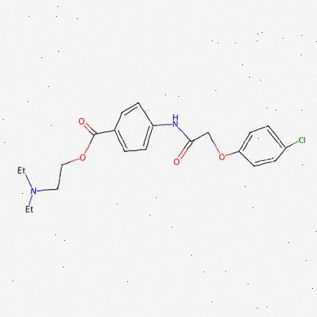 CCN(CC)CCOC(=O)c1ccc(NC(=O)COc2ccc(Cl)cc2)cc1